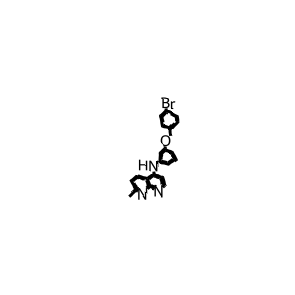 Cc1ccc2c(Nc3cccc(OCc4ccc(Br)cc4)c3)ccnc2n1